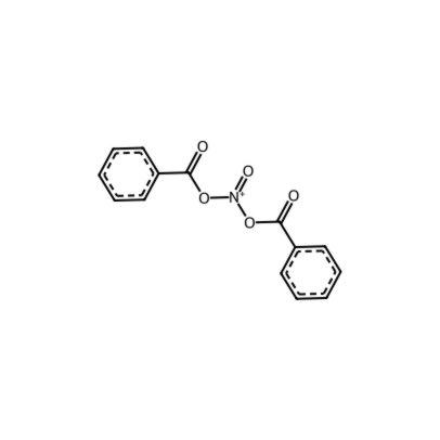 O=C(O[N+](=O)OC(=O)c1ccccc1)c1ccccc1